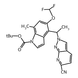 Cc1cc(OC(F)F)c(C(C)n2cc3ccc(C#N)nc3n2)c2ccn(C(=O)OC(C)(C)C)c12